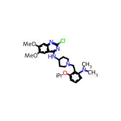 COc1cc2nc(Cl)nc(NC3CCN(Cc4c(OC(C)C)cccc4N(C)C)CC3)c2cc1OC